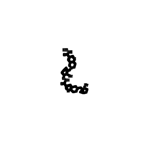 CC(=O)N1C(ONC(=O)c2cnc3c(c2)CN(CC24CC2CCN4C(C)C)CC3)CC2CC21CN1CCc2ncc(C(=O)NO)cc2C1